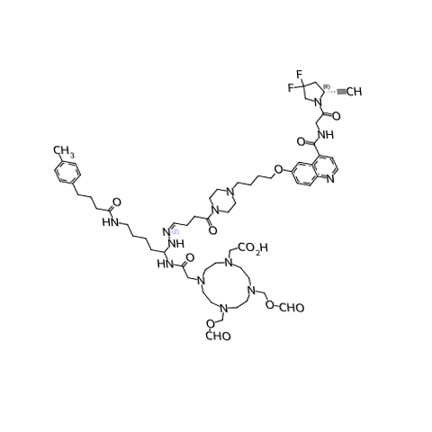 C#C[C@H]1CC(F)(F)CN1C(=O)CNC(=O)c1ccnc2ccc(OCCCCN3CCN(C(=O)CC/C=N\NC(CCCCNC(=O)CCCc4ccc(C)cc4)NC(=O)CN4CCN(COC=O)CCN(COC=O)CCN(CC(=O)O)CC4)CC3)cc12